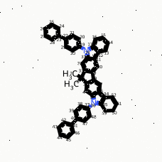 CC1(C)c2cc3c(cc2-c2cc4c5ccccc5n(-c5ccc(-c6ccccc6)cc5)c4cc21)c1c(n3-c2ccc(-c3ccccc3)cc2)CCC=C1